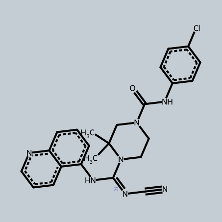 CC1(C)CN(C(=O)Nc2ccc(Cl)cc2)CCN1/C(=N\C#N)Nc1cccc2ncccc12